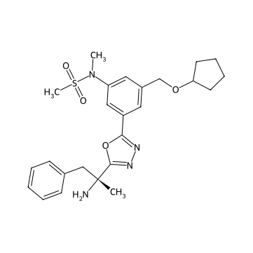 CN(c1cc(COC2CCCC2)cc(-c2nnc([C@](C)(N)Cc3ccccc3)o2)c1)S(C)(=O)=O